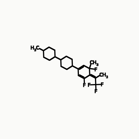 CC(=C1C(F)=CC(C2CCC(C3CCC(C)CC3)CC2)=CC1(C)F)C(F)(F)F